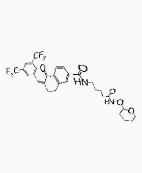 O=C(CCCCNC(=O)c1ccc2c(c1)CCC(=Cc1cc(C(F)(F)F)cc(C(F)(F)F)c1)C2=O)NOC1CCCCO1